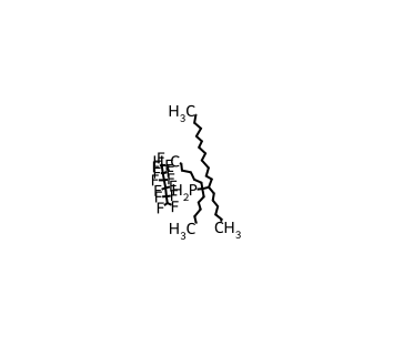 CCCCCCCCCCCCC(CCCCCC)C(P)(CCCCCC)CCCCCC.FC(F)C(F)(F)C(F)(F)C(F)(F)C(F)(F)C(F)(F)F